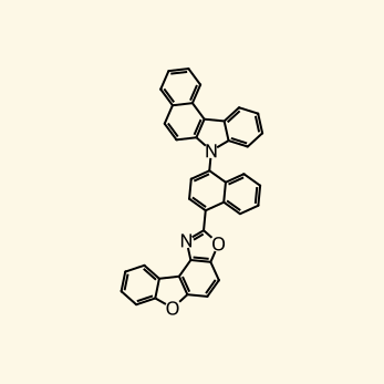 c1ccc2c(c1)ccc1c2c2ccccc2n1-c1ccc(-c2nc3c(ccc4oc5ccccc5c43)o2)c2ccccc12